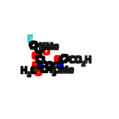 CNC(=O)c1c(-c2ccc(F)cc2)oc2cc(N(C)S(C)(=O)=O)c(-c3ccc(OC)c(-c4nc5cc(C(=O)O)ccc5o4)c3)cc12